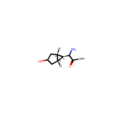 COC(=O)C(N)[C@H]1[C@@H]2CC(O)C[C@@H]21